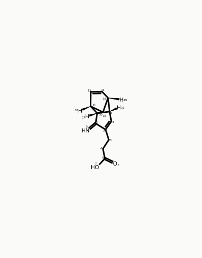 N=C1C(CCC(=O)O)=C[C@@H]2[C@H]1[C@@H]1C=C[C@H]2C1